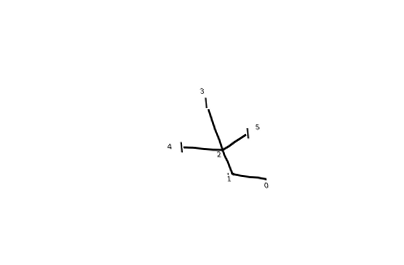 C[CH]C(I)(I)I